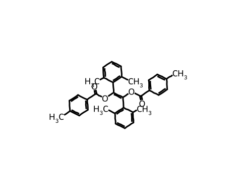 Cc1ccc(C(=O)O/C(=C(/OC(=O)c2ccc(C)cc2)c2c(C)cccc2C)c2c(C)cccc2C)cc1